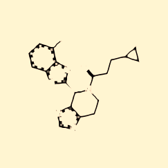 O=C(CCC1CC1)N1CCc2nc[nH]c2[C@H]1c1nc2c(F)cccc2s1